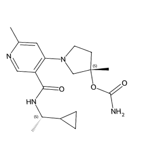 Cc1cc(N2CC[C@](C)(OC(N)=O)C2)c(C(=O)N[C@@H](C)C2CC2)cn1